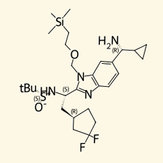 CC(C)(C)[S@@+]([O-])N[C@@H](C[C@H]1CCC(F)(F)C1)c1nc2ccc([C@H](N)C3CC3)cc2n1COCC[Si](C)(C)C